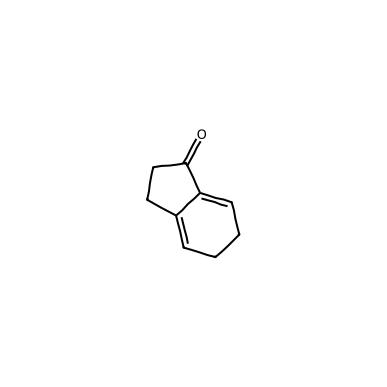 O=C1CCC2=CCCC=C12